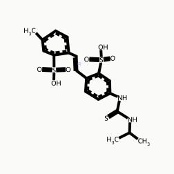 Cc1ccc(/C=C/c2ccc(NC(=S)NC(C)C)cc2S(=O)(=O)O)c(S(=O)(=O)O)c1